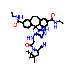 CCNC(=O)c1ccc2c(c1)CCc1cc(C(=O)NCC)ccc1C2(C[C@H](CC)NCC(=O)N1C(C#N)C[C@@H]2C[C@@H]21)c1nnn[nH]1